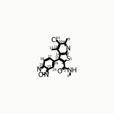 CNC(=O)c1sc2nc(C)c(Cl)c(C)c2c1-c1ccc2nonc2c1